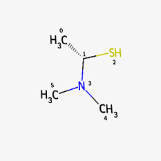 C[C@H](S)N(C)C